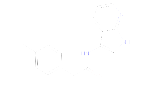 Cc1ccc([C@@H](C)C(=O)Nc2c[nH]c3ncccc23)cc1